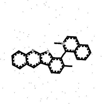 Cc1ccc2c(oc3nc4ccccc4cc32)c1-c1c2ccccc2cc[n+]1C